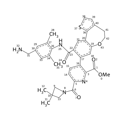 COC(=O)c1nc(C(=O)N2CC(C)(C)C2)ccc1-c1cc2c(cc1C(=O)Nc1c(C)cc(CN)cc1C)-c1sccc1CCO2